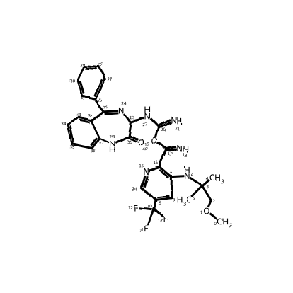 COCC(C)(C)Nc1cc(C(F)(F)F)cnc1C(=N)OC(=N)NC1N=C(c2ccccc2)c2ccccc2NC1=O